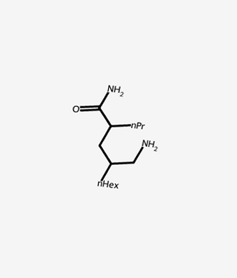 CCCCCCC(CN)CC(CCC)C(N)=O